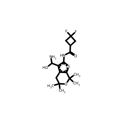 CC1(C)Cc2c(sc(NC(=O)C3CC(F)(F)C3)c2C(N)O)C(C)(C)O1